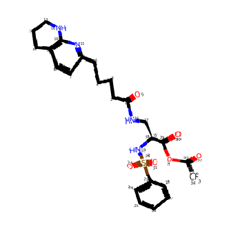 O=C(CCCCc1ccc2c(n1)NCCC2)NC[C@H](NS(=O)(=O)c1ccccc1)C(=O)OC(=O)C(F)(F)F